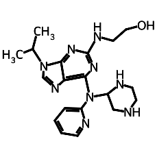 CC(C)n1cnc2c(N(c3ccccn3)C3CNCCN3)nc(NCCO)nc21